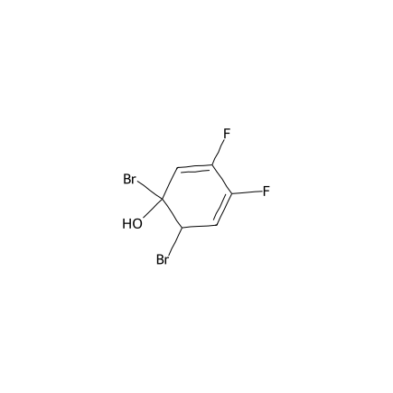 OC1(Br)C=C(F)C(F)=CC1Br